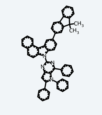 CC1(C)c2ccccc2-c2ccc(-c3ccc4c(c3)c3c5ccccc5ccc3n4-c3nc(-c4ccccc4)c4c(cc(-c5ccccc5)n4-c4ccccc4)n3)cc21